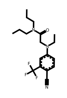 CCCN(CCC)C(=O)CN(CC)c1ccc(C#N)c(C(F)(F)F)c1